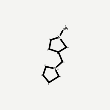 CCCN1CCC(CN2CCCC2)C1